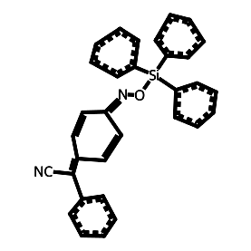 N#CC(=C1C=CC(=NO[Si](c2ccccc2)(c2ccccc2)c2ccccc2)C=C1)c1ccccc1